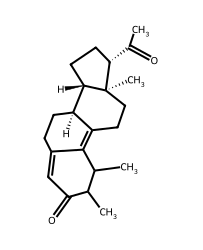 CC(=O)[C@H]1CC[C@H]2[C@@H]3CCC4=CC(=O)C(C)C(C)C4=C3CC[C@]12C